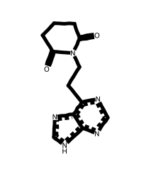 O=C1CCCC(=O)N1CCc1ncnc2[nH]cnc12